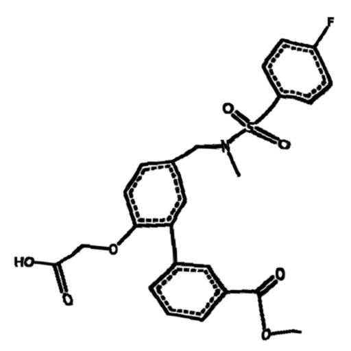 COC(=O)c1cccc(-c2cc(CN(C)S(=O)(=O)c3ccc(F)cc3)ccc2OCC(=O)O)c1